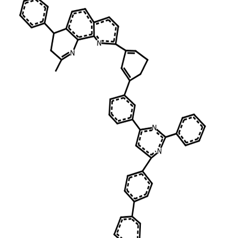 CC1=Nc2c(ccc3ccc(C4=CCCC(c5cccc(-c6cc(-c7ccc(-c8ccccc8)cc7)nc(-c7ccccc7)n6)c5)=C4)nc23)C(c2ccccc2)C1